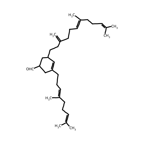 C=C(CC/C=C(\C)CCC=C(C)C)CCC1C=C(CC/C=C(\C)CCC=C(C)C)CC(C=O)C1